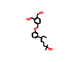 CC/C(=C\CCC(C)(C)O)c1cccc(OCc2ccc(CO)c(CO)c2)c1